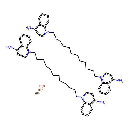 Br.Br.Nc1cc[n+](CCCCCCCCCCCC[n+]2ccc(N)c3ccccc32)c2ccccc12.Nc1cc[n+](CCCCCCCCCCCC[n+]2ccc(N)c3ccccc32)c2ccccc12.O